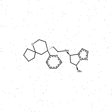 CC(C)(C)[C@H]1C[C@@H](NCC[C@@]2(c3ccccn3)CCOC3(CCCC3)C2)c2ccnn21